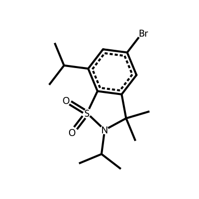 CC(C)c1cc(Br)cc2c1S(=O)(=O)N(C(C)C)C2(C)C